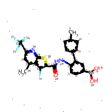 Cc1ccc(-c2cc(B(O)O)ccc2NC(=O)c2sc3nc(C(F)(F)F)cc(C)c3c2F)cc1